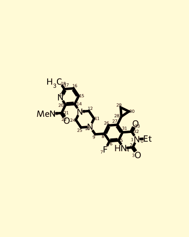 CCn1c(=O)[nH]c2c(F)c(CN3CCN(c4ccc(C)nc4C(=O)NC)CC3)cc(C3CC3)c2c1=O